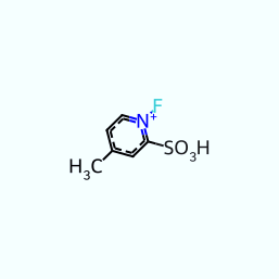 Cc1cc[n+](F)c(S(=O)(=O)O)c1